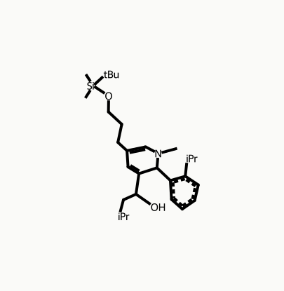 CC(C)CC(O)C1=CC(CCCO[Si](C)(C)C(C)(C)C)=CN(C)C1c1ccccc1C(C)C